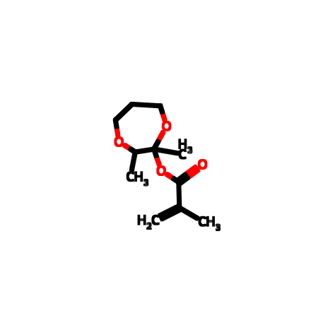 C=C(C)C(=O)OC1(C)OCCCOC1C